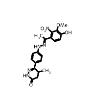 COc1c(O)ccc(C(C)=NNc2ccc(C3=NNC(=O)CC3C)cc2)c1[N+](=O)[O-]